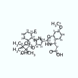 COc1ccc(C(CC(=O)O)NC(=O)c2cc(OCC(C)(O)C(C)(C)C)n(-c3ccccc3F)n2)cc1